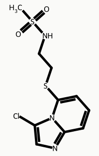 CS(=O)(=O)NCCSc1cccc2ncc(Cl)n12